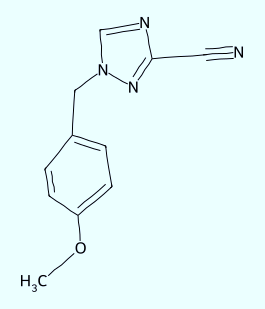 COc1ccc(Cn2cnc(C#N)n2)cc1